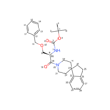 CC(C)(C)OC(=O)N[C@H](COCc1ccccc1)C(=O)N1CCC2(CCc3ccccc32)CC1